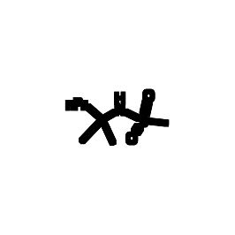 CCCC(C)(C)NS(C)(=O)=O